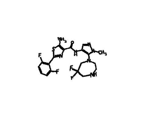 Cn1ncc(NC(=O)c2nc(-c3c(F)cccc3F)sc2N)c1N1CCNCC(F)(F)C1